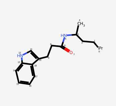 CC(C)CCC(C)NC(=O)CCc1c[nH]c2ccccc12